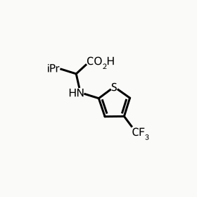 CC(C)C(Nc1cc(C(F)(F)F)cs1)C(=O)O